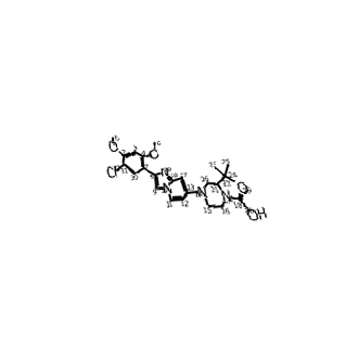 COc1cc(OC)c(-c2cn3ccc(N4CCN(C(=O)O)C(C(C)(C)C)C4)cc3n2)cc1Cl